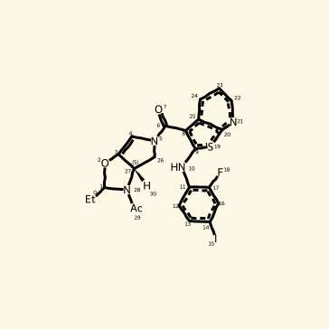 CCC1OC2=CN(C(=O)c3c(Nc4ccc(I)cc4F)sc4ncccc34)C[C@@H]2N1C(C)=O